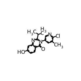 Cc1cc(-n2c(C(C)C)nc3cc(O)ccc3c2=O)cnc1Cl